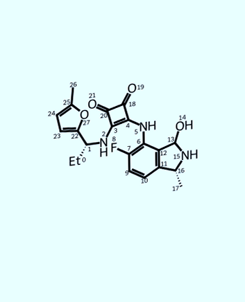 CC[C@@H](Nc1c(Nc2c(F)ccc3c2C(O)N[C@@H]3C)c(=O)c1=O)c1ccc(C)o1